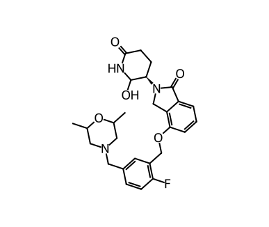 CC1CN(Cc2ccc(F)c(COc3cccc4c3CN([C@@H]3CCC(=O)NC3O)C4=O)c2)CC(C)O1